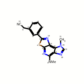 CNc1nc2sc(-c3cccc(CC#N)c3)nc2c2c1ncn2C